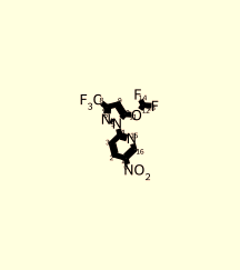 O=[N+]([O-])c1ccc(-n2nc(C(F)(F)F)cc2OC(F)F)nc1